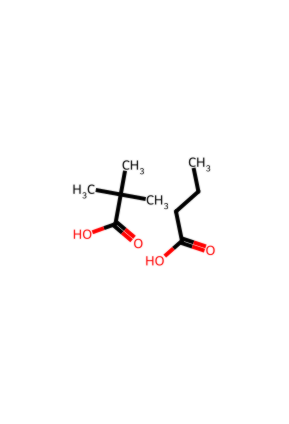 CC(C)(C)C(=O)O.CCCC(=O)O